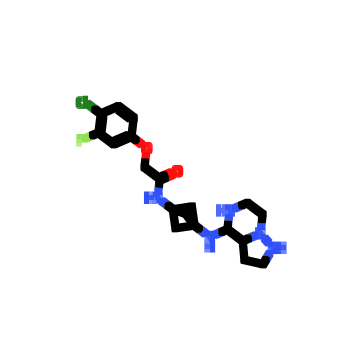 O=C(COc1ccc(Cl)c(F)c1)NC12CC(NC3NCCN4NCCC34)(C1)C2